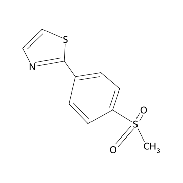 CS(=O)(=O)c1ccc(-c2nccs2)cc1